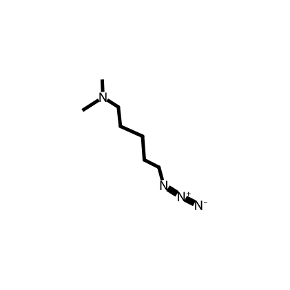 CN(C)CCCCCN=[N+]=[N-]